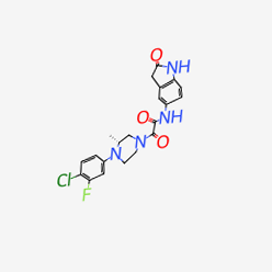 C[C@@H]1CN(C(=O)C(=O)Nc2ccc3c(c2)CC(=O)N3)CCN1c1ccc(Cl)c(F)c1